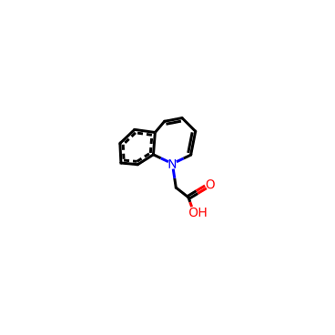 O=C(O)CN1C=CC=Cc2ccccc21